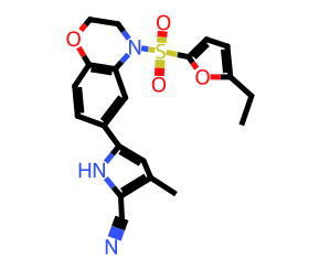 CCc1ccc(S(=O)(=O)N2CCOc3ccc(-c4cc(C)c(C#N)[nH]4)cc32)o1